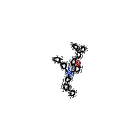 c1ccc(-c2ccc(-c3nc(-c4ccc(-c5cccc(-c6ccccc6)c5)cc4)nc(-c4cccc5oc6c(-c7ccc(-c8ccccc8)c(-c8ccccc8)c7)cccc6c45)n3)cc2)cc1